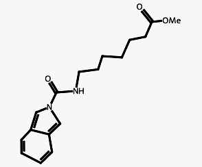 COC(=O)CCCCCCNC(=O)n1cc2ccccc2c1